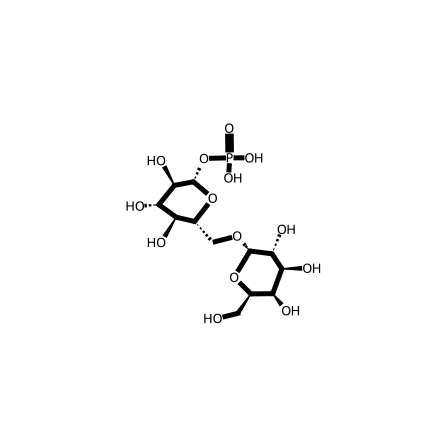 O=P(O)(O)O[C@@H]1O[C@H](CO[C@H]2O[C@H](CO)[C@H](O)[C@H](O)[C@H]2O)[C@@H](O)[C@H](O)[C@H]1O